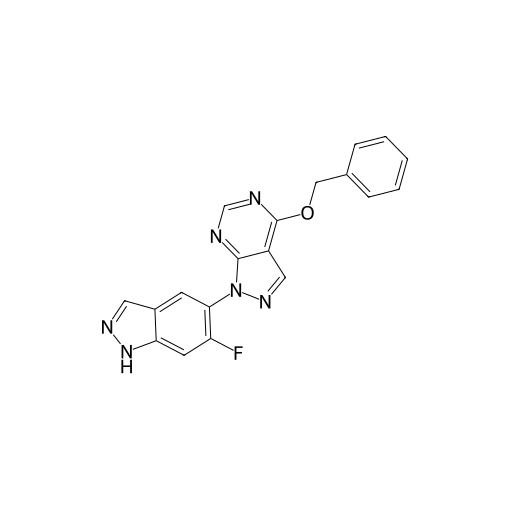 Fc1cc2[nH]ncc2cc1-n1ncc2c(OCc3ccccc3)ncnc21